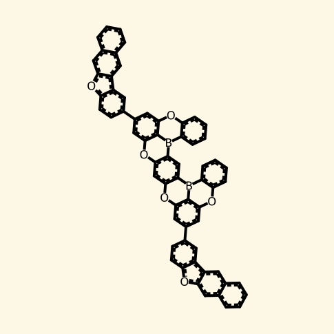 c1ccc2c(c1)Oc1cc(-c3ccc4oc5cc6ccccc6cc5c4c3)cc3c1B2c1cc2c(cc1O3)Oc1cc(-c3ccc4oc5cc6ccccc6cc5c4c3)cc3c1B2c1ccccc1O3